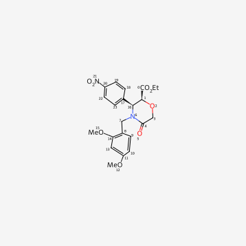 CCOC(=O)[C@H]1OCC(=O)N(Cc2ccc(OC)cc2OC)[C@H]1c1ccc([N+](=O)[O-])cc1